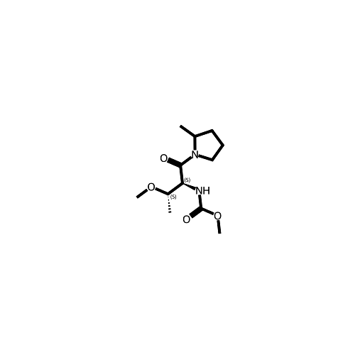 COC(=O)N[C@H](C(=O)N1CCCC1C)[C@H](C)OC